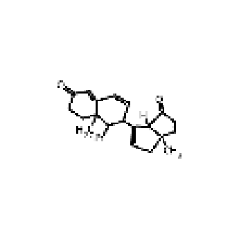 CCCC1C(C2=CC[C@@]3(C)CCC(=O)[C@@H]23)C=CC2=CC(=O)CCC21C